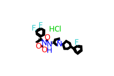 Cl.O=C(N[C@@H]1CCN(C2CCC(c3ccccc3F)CC2)C1)N1C(=O)OC[C@@H]1c1ccc(F)c(F)c1